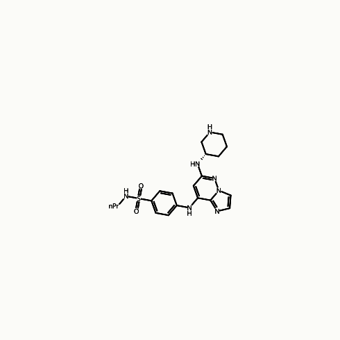 CCCNS(=O)(=O)c1ccc(Nc2cc(N[C@H]3CCCNC3)nn3ccnc23)cc1